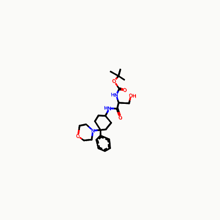 CC(C)(C)OC(=O)NC(CO)C(=O)NC1CCC(c2ccccc2)(N2CCOCC2)CC1